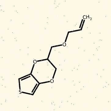 C=CCOCC1COc2cscc2O1